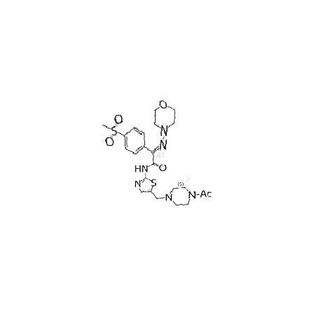 CC(=O)N1CCN(Cc2cnc(NC(=O)/C(=N/N3CCOCC3)c3ccc(S(C)(=O)=O)cc3)s2)C[C@@H]1C